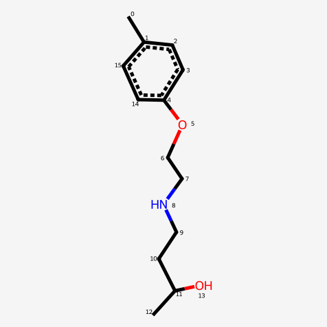 Cc1ccc(OCCNCCC(C)O)cc1